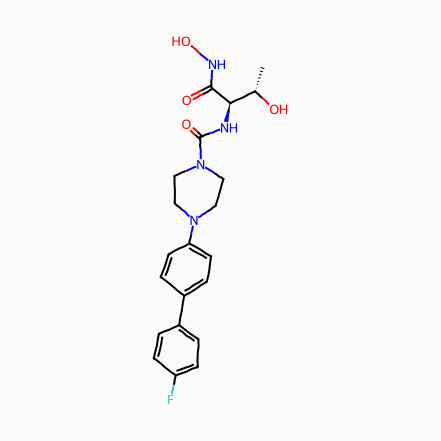 C[C@H](O)[C@@H](NC(=O)N1CCN(c2ccc(-c3ccc(F)cc3)cc2)CC1)C(=O)NO